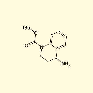 CC(C)(C)OC(=O)N1CCC(N)c2ccccc21